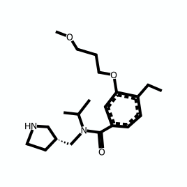 CCc1ccc(C(=O)N(C[C@@H]2CCNC2)C(C)C)cc1OCCCOC